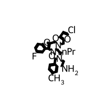 CCC[C@H](c1nc2c(oc3ccc(F)cc32)c(=O)n1Cc1ccc(Cl)o1)N(CCN)C(=O)c1ccc(C)cc1